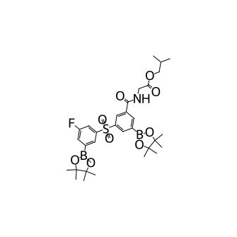 CC(C)COC(=O)CNC(=O)c1cc(B2OC(C)(C)C(C)(C)O2)cc(S(=O)(=O)c2cc(F)cc(B3OC(C)(C)C(C)(C)O3)c2)c1